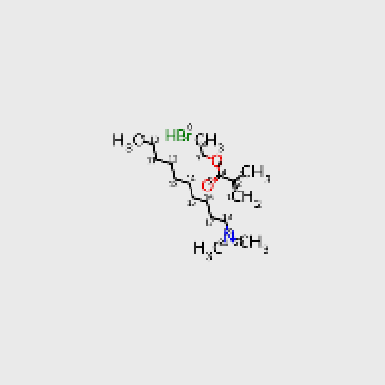 Br.C=C(C)C(=O)OCC.CCCCCCCCCCN(C)C